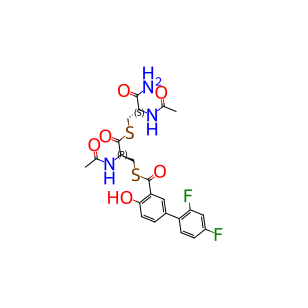 CC(=O)N[C@H](CSC(=O)[C@@H](CSC(=O)c1cc(-c2ccc(F)cc2F)ccc1O)NC(C)=O)C(N)=O